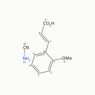 COc1ccccc1/C=C/C(=O)O.N#CN